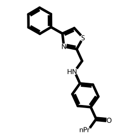 CCCC(=O)c1ccc(NCc2nc(-c3ccccc3)cs2)cc1